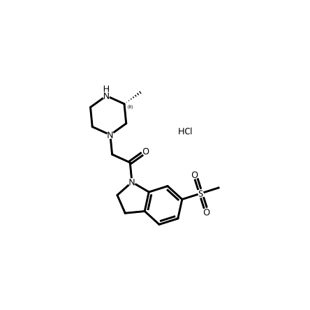 C[C@@H]1CN(CC(=O)N2CCc3ccc(S(C)(=O)=O)cc32)CCN1.Cl